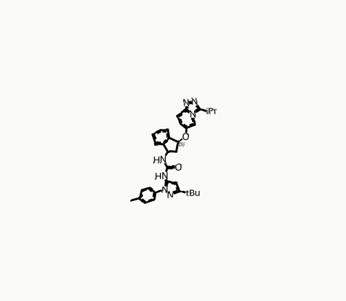 Cc1ccc(-n2nc(C(C)(C)C)cc2NC(=O)NC2C[C@H](Oc3ccc4nnc(C(C)C)n4c3)c3ccccc32)cc1